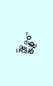 CCN(CC1CN(c2cccc(-c3cnc4ccc(N5CCC[C@@H]5c5cccc(F)c5)nn34)n2)C1)[SH](=O)=O